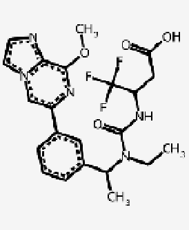 CCN(C(=O)NC(CC(=O)O)C(F)(F)F)C(C)c1cccc(-c2cn3ccnc3c(OC)n2)c1